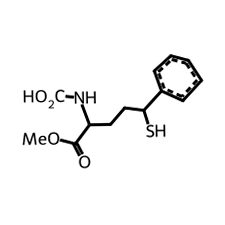 COC(=O)C(CCC(S)c1ccccc1)NC(=O)O